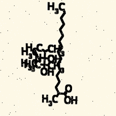 CC(C)C(O)(N(C)C)C(C)(C)O.CCCCCCCC=CCCCCCCC(C)C(=O)O